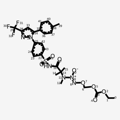 CCOC(=O)OCON=[N+]([O-])N(C)C(C)(C)C(=O)NS(=O)(=O)c1ccc(-n2nc(C(F)(F)F)cc2-c2ccc(C)cc2)cc1